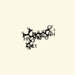 CCn1nccc1C(=O)N[C@H](c1cn2ncc(CC3(C(=O)O)C[C@H](C(F)(F)F)CNC3=O)cc2n1)C(C1CC1)C1CC1